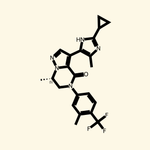 Cc1cc(N2C[C@H](C)n3ncc(-c4[nH]c(C5CC5)nc4C)c3C2=O)ccc1C(F)(F)F